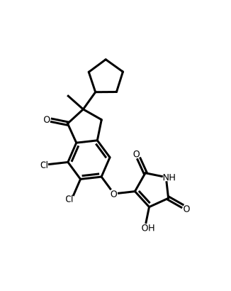 CC1(C2CCCC2)Cc2cc(OC3=C(O)C(=O)NC3=O)c(Cl)c(Cl)c2C1=O